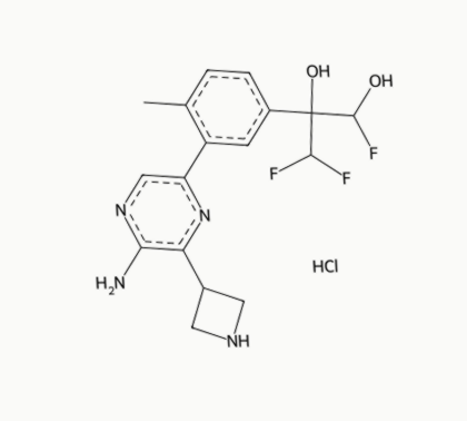 Cc1ccc(C(O)(C(O)F)C(F)F)cc1-c1cnc(N)c(C2CNC2)n1.Cl